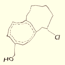 Oc1ccc2c(c1)C(Cl)CCC2